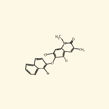 Cc1cc2c(Cl)c(Oc3ccc4ccccc4c3Br)c(Cl)cc2n(C)c1=O